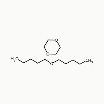 C1COCCO1.CCCCCOCCCCC